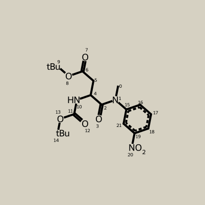 CN(C(=O)C(CC(=O)OC(C)(C)C)NC(=O)OC(C)(C)C)c1cccc([N+](=O)[O-])c1